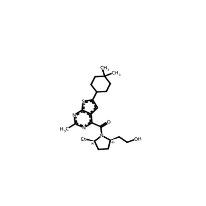 CC[C@@H]1CC[C@H](CCO)N1C(=O)c1nc(C)nc2sc(C3CCC(C)(C)CC3)cc12